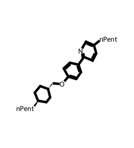 CCCCCc1ccc(-c2ccc(OC[C@H]3CC[C@H](CCCCC)CC3)cc2)nc1